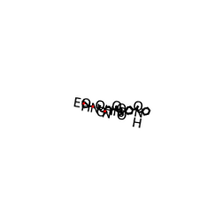 CCOCCNC(=O)Oc1ccc(C(=O)NS(=O)(=O)c2ccc(C(=O)NC3CCCCC3)cc2)cn1